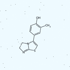 Cc1cc(C2=CSC3=NCCN23)ccc1O